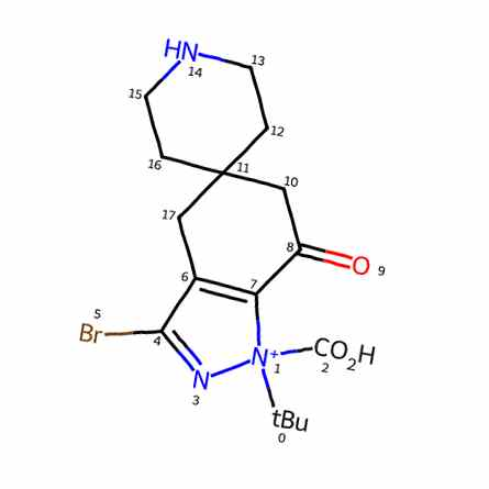 CC(C)(C)[N+]1(C(=O)O)N=C(Br)C2=C1C(=O)CC1(CCNCC1)C2